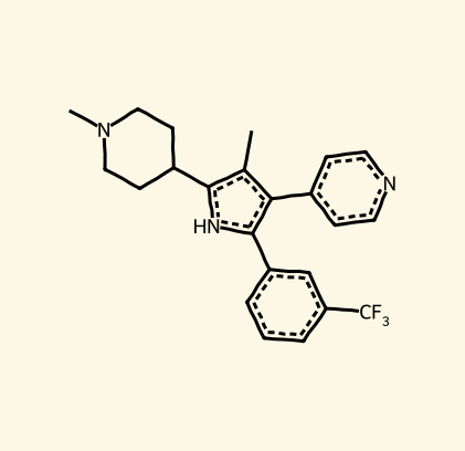 Cc1c(C2CCN(C)CC2)[nH]c(-c2cccc(C(F)(F)F)c2)c1-c1ccncc1